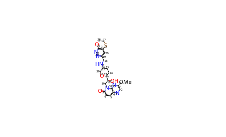 COc1cnc2ccc(=O)n(CC(O)[C@@H]3CC[C@@H](NCc4cc5c(nn4)OCCS5)CO3)c2n1